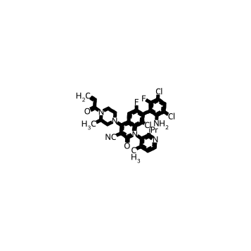 C=CC(=O)N1CCN(c2c(C#N)c(=O)n(-c3c(C)ccnc3C(C)C)c3c(Cl)c(-c4c(N)c(Cl)cc(Cl)c4F)c(F)cc23)CC1C